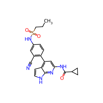 CCCS(=O)(=O)Nc1ccc(-c2cc(NC(=O)C3CC3)nc3[nH]ccc23)c(C#N)c1